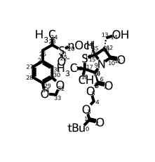 CC(C)(C)C(=O)OCOC(=O)[C@@H]1N2C(=O)[C@@H](CO)[C@H]2SC1(C)C.CCCCCCCC[S+]([O-])C(C)Cc1ccc2c(c1)OCO2